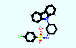 O=S(=O)(N[C@@H]1CCC[C@H](n2c3ccccc3c3ccccc32)[C@H]1O)c1ccc(Cl)cc1